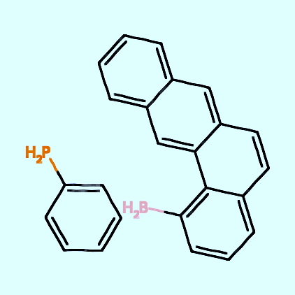 Bc1cccc2ccc3cc4ccccc4cc3c12.Pc1ccccc1